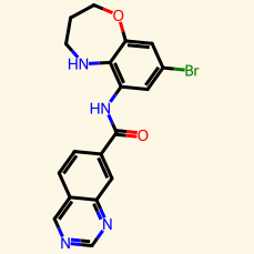 O=C(Nc1cc(Br)cc2c1NCCCO2)c1ccc2cncnc2c1